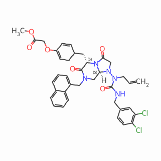 C=CCN(C(=O)NCc1ccc(Cl)c(Cl)c1)N1CC(=O)N2[C@@H](CC3C=CC(OCC(=O)OC)=CC3)C(=O)N(Cc3cccc4ccccc34)C[C@@H]21